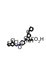 O=C(O)CC(NC(=O)C1CCN(C(=O)/C=C/c2cc3ccsc3c(Cl)c2Cl)CC1)c1ccc(Oc2ccccc2)cc1